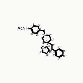 CC(=O)Nc1ccc(CN2CCC(CCc3ccccc3)([C@@H]3CCCO3)CC2)cc1